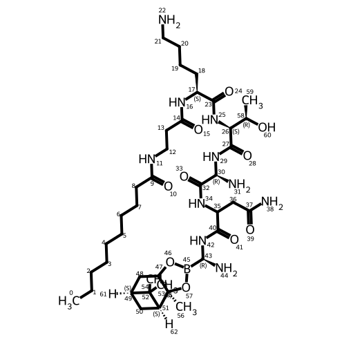 CCCCCCCCCC(=O)NCCC(=O)N[C@@H](CCCCN)C(=O)N[C@H](C(=O)N[C@@H](N)C(=O)NC(CC(N)=O)C(=O)N[C@@H](N)B1OC2C[C@@H]3C[C@@H](C3(C)C)[C@]2(C)O1)[C@@H](C)O